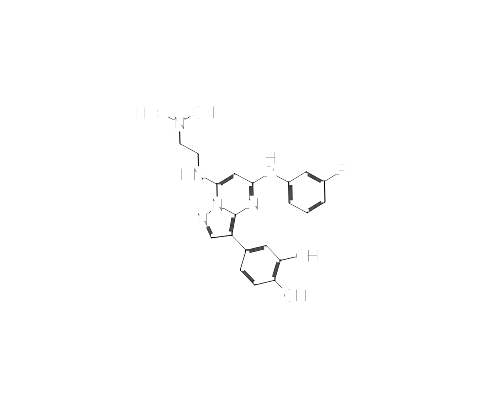 Cc1ccc(-c2cnn3c(NCCN(C)C)cc(Pc4cccc(F)c4)nc23)cc1C